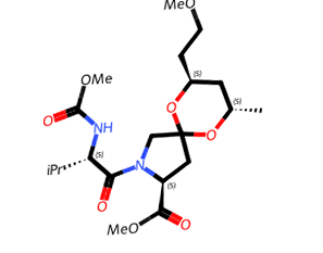 COCC[C@H]1C[C@H](C)OC2(C[C@@H](C(=O)OC)N(C(=O)[C@@H](NC(=O)OC)C(C)C)C2)O1